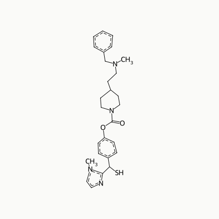 CN(CCC1CCN(C(=O)Oc2ccc(C(S)c3nccn3C)cc2)CC1)Cc1ccccc1